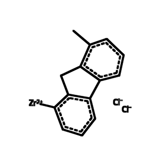 Cc1cccc2c1Cc1[c]([Zr+2])cccc1-2.[Cl-].[Cl-]